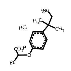 CCC(Oc1ccc(C(C)(C)CC(C)(C)C)cc1)C(=O)O.Cl